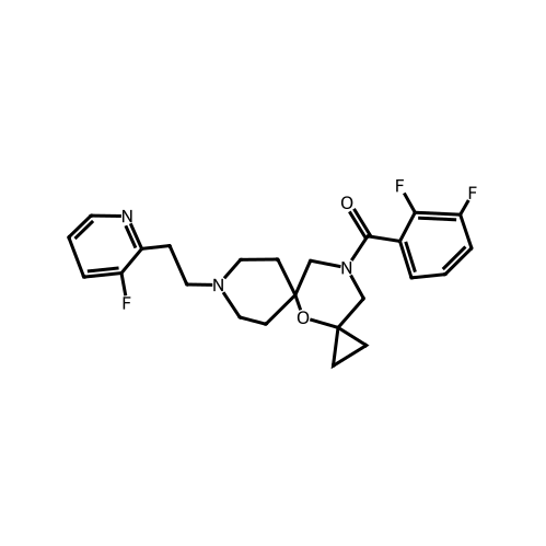 O=C(c1cccc(F)c1F)N1CC2(CCN(CCc3ncccc3F)CC2)OC2(CC2)C1